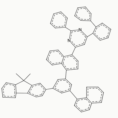 CC1(C)c2ccccc2-c2ccc(-c3cc(-c4cccc5ccccc45)cc(-c4ccc(-c5cc(-c6ccccc6-c6ccccc6)nc(-c6ccccc6)n5)c5ccccc45)c3)cc21